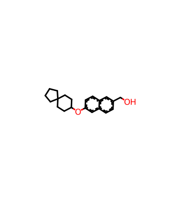 OCc1ccc2cc(OC3CCC4(CCCC4)CC3)ccc2c1